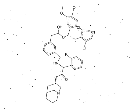 COc1ccc([C@H](Cc2c(Cl)cncc2Cl)OC(O)Cc2cccc(CNC(C(=O)O[C@@H]3CC4CCCN(C4)C3)c3ccccc3F)c2)cc1OC